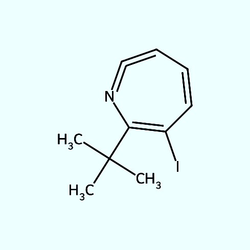 CC(C)(C)C1=C(I)C=CC=C=N1